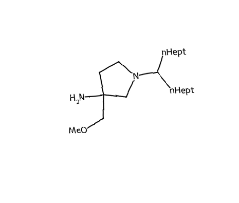 CCCCCCCC(CCCCCCC)N1CCC(N)(COC)C1